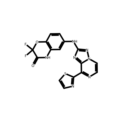 O=C1Nc2cc(Nc3nc4c(-c5nccs5)nccn4n3)ccc2OC1(F)F